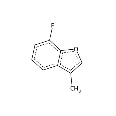 Cc1[c]oc2c(F)cccc12